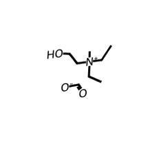 CC[N+](C)(CC)CCO.O=C[O-]